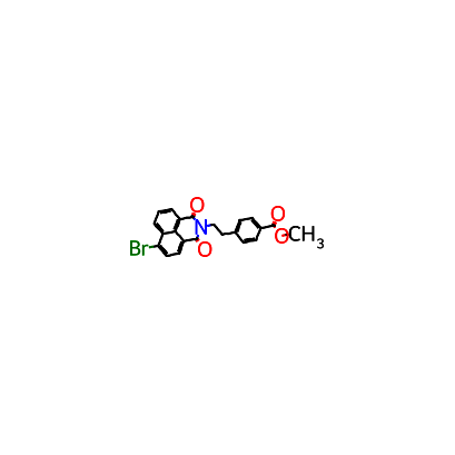 COC(=O)c1ccc(CCN2C(=O)c3cccc4c(Br)ccc(c34)C2=O)cc1